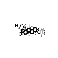 C=C(C)[C@@H]1CC[C@]2(C=O)CC[C@]3(C)C(CCC4[C@@]5(C)CC[C@H](C)C(C)(C)C5CC[C@]43C)C12